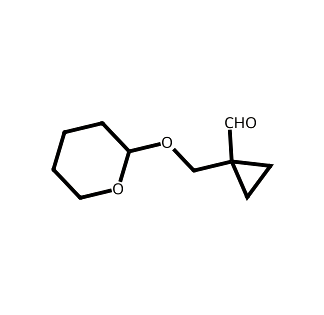 O=CC1(COC2CCCCO2)CC1